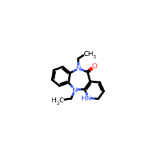 CCN1C(=O)C2=C(NCC=C2)N(CC)c2ccccc21